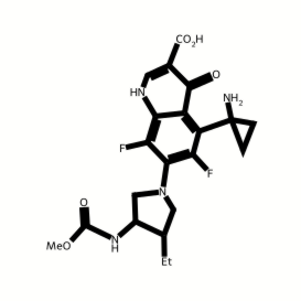 CCC1CN(c2c(F)c(C3(N)CC3)c3c(=O)c(C(=O)O)c[nH]c3c2F)CC1NC(=O)OC